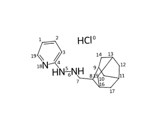 Cl.c1ccc(NNCC2C3CC4CC(C3)CC2C4)nc1